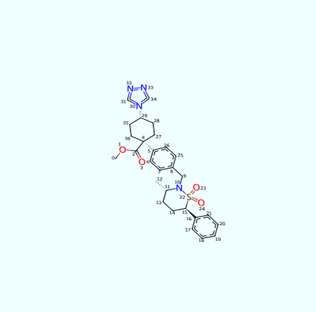 COC(=O)[C@]1(c2ccc(CN3[C@@H](C)CC[C@H](c4ccccc4)S3(=O)=O)cc2)CC[C@@H](n2cnnc2)CC1